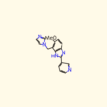 COc1ccc2nc(-c3cccnc3)[nH]c2c1Cn1ccnc1